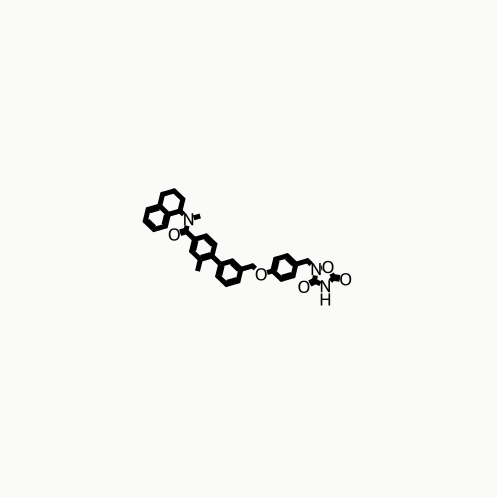 Cc1cc(C(=O)N(C)C2CCCc3ccccc32)ccc1-c1cccc(COc2ccc(Cn3oc(=O)[nH]c3=O)cc2)c1